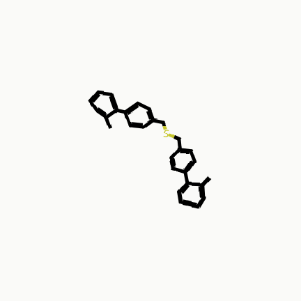 Cc1ccccc1-c1ccc(CSCc2ccc(-c3ccccc3C)cc2)cc1